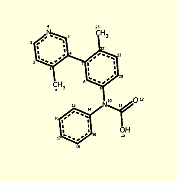 Cc1ccncc1-c1cc(N(C(=O)O)c2cc[c]cc2)ccc1C